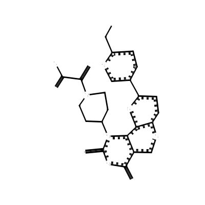 NC(=O)C(=O)N1CCC(n2c(=O)[nH]c(=O)c3cnc4ccc(-c5ccc(CO)nc5)nc4c32)CC1